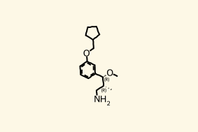 CO[C@@H](c1cccc(OCC2CCCC2)c1)[C@H](C)CN